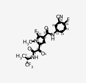 C[C@H](NC(=O)C(=O)c1cc(C(=O)Nc2ccc(F)c(C#N)c2)c(F)n1C)C(F)(F)F